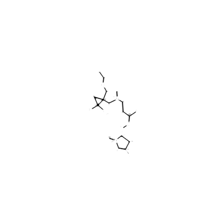 CCOCC1(CN(C)CCC(C)OC[C@@H]2C[C@@H](F)CN2C)CC1(F)F